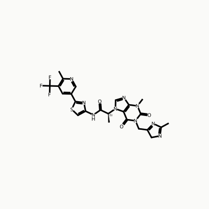 CC1=NCC(Cn2c(=O)c3c(ncn3[C@@H](C)C(=O)Nc3csc(-c4cnc(C)c(C(F)(F)F)c4)n3)n(C)c2=O)=N1